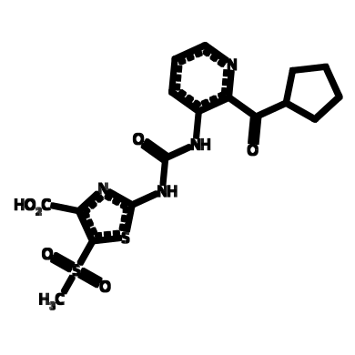 CS(=O)(=O)c1sc(NC(=O)Nc2cccnc2C(=O)C2CCCC2)nc1C(=O)O